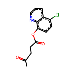 CC(=O)CCC(=O)Oc1ccc(Cl)c2cccnc12